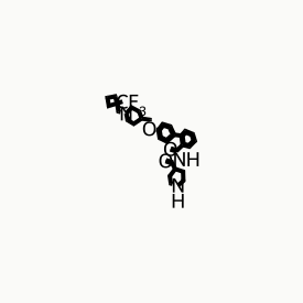 O=C(NC(=O)C1CCNCC1)c1ccccc1-c1ccc(OCC2CCN(CC3(C(F)(F)F)CCC3)CC2)cc1